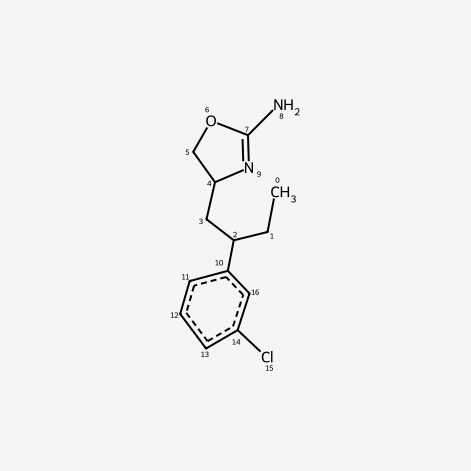 CCC(CC1COC(N)=N1)c1cccc(Cl)c1